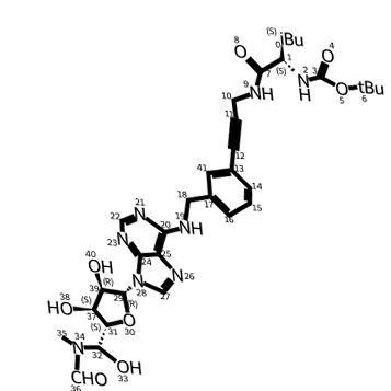 CC[C@H](C)[C@H](NC(=O)OC(C)(C)C)C(=O)NCC#Cc1cccc(CNc2ncnc3c2ncn3[C@@H]2O[C@H](C(O)N(C)C=O)[C@@H](O)[C@H]2O)c1